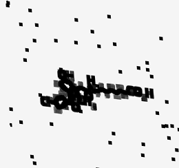 Cc1c(CC(=O)NCCCCCCCC(=O)O)c2cc(O)ccc2n1C(=O)c1ccc(Cl)cc1